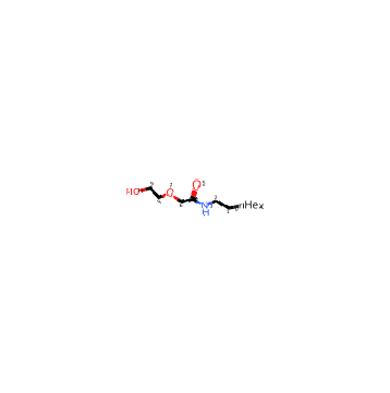 CCCCCCCCNC(=O)COCCO